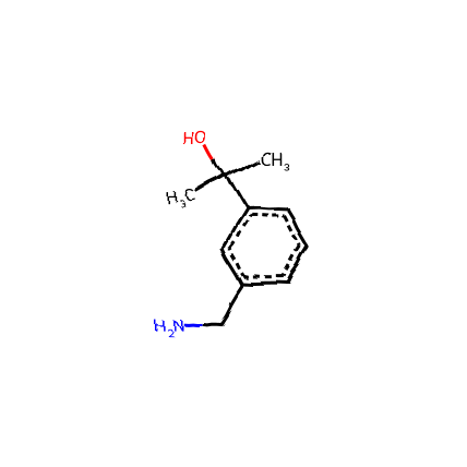 CC(C)(O)c1cccc(CN)c1